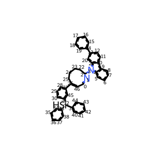 C1=N\C(n2c3ccccc3c3ccc(-c4ccccc4)cc32)CCCC\C(c2cccc([SiH](c3ccccc3)c3ccccc3)c2)=C/1